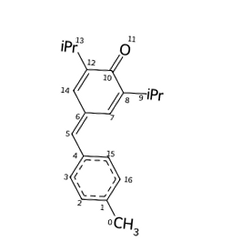 Cc1ccc(C=C2C=C(C(C)C)C(=O)C(C(C)C)=C2)cc1